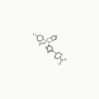 CC(c1cn(-c2ccc([N+](=O)[O-])cc2)nn1)C(O)(Cn1cncn1)c1ccc(F)cc1F